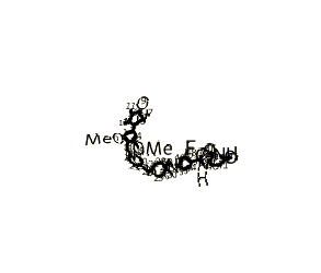 COc1cc(-c2cn(C)c(=O)c(C)c2C)cc(OC)c1CN1CCC(CN2CCC3(CC2)CN(c2ccc(C(=O)NC4CCC(=O)NC4=O)c(F)c2)C3)CC1